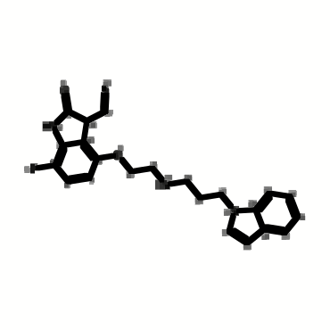 O=C1Nc2c(F)ccc(OCCNCCCn3ccc4ccccc43)c2C1C=S